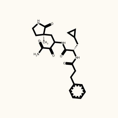 C[C@]1(CC(NC(=O)[C@H](CC2CC2)NC(=O)CCc2ccccc2)C(=O)C(N)=O)CCNC1=O